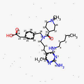 CCCCCNc1nc(N)nc(C)c1CCCN(Cc1ccc(CC(=O)O)cc1)C(=O)C1CCN(C)CC1